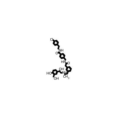 C[C@H](Cc1cccc(CC(=O)NCc2ccc(C(=O)NCCc3ccc(Cl)cc3)cc2)c1)NC[C@H](O)c1ccc(O)c(CO)c1